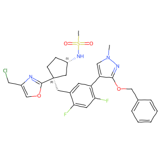 Cn1cc(-c2cc(C[C@]3(c4nc(CCl)co4)CC[C@H](NS(C)(=O)=O)C3)c(F)cc2F)c(OCc2ccccc2)n1